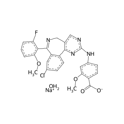 COc1cc(Nc2ncc3c(n2)-c2ccc(Cl)cc2C(c2c(F)cccc2OC)=NC3)ccc1C(=O)[O-].O.[Na+]